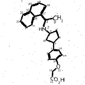 CC(NC1CCC(c2ccc(OCC(=O)O)cc2)C1)c1cccc2ccccc12